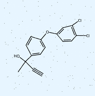 C#CC(C)(O)c1ccc(Oc2ccc(Cl)c(Cl)c2)cc1